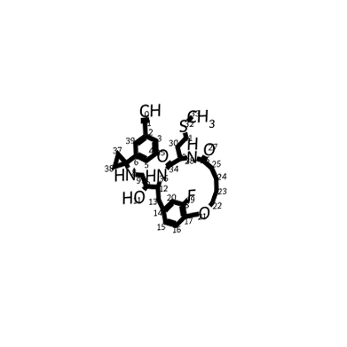 C#Cc1cccc(C2(NCC(O)C3Cc4ccc(c(F)c4)OCCCCC(=O)NC(CCSC)C(=O)N3)CC2)c1